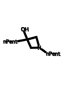 CCCCCN1CC(O)(CCCCC)C1